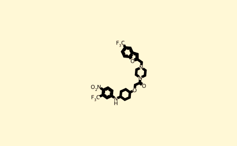 O=C(COC1CCC(Nc2ccc([N+](=O)[O-])c(C(F)(F)F)c2)CC1)N1CCN(Cc2cc3cc(C(F)(F)F)ccc3o2)CC1